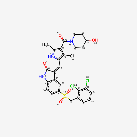 Cc1[nH]c(/C=C2\C(=O)Nc3ccc(S(=O)(=O)Cc4cccc(Cl)c4Cl)cc32)c(C)c1C(=O)N1CCC(O)CC1